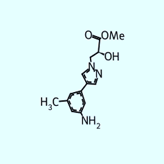 COC(=O)[C@@H](O)Cn1cc(-c2cc(C)cc(N)c2)cn1